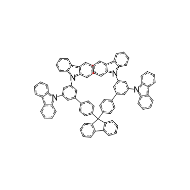 c1ccc2c(c1)-c1ccccc1C2(c1ccc(-c2cc(-n3c4ccccc4c4ccccc43)cc(-n3c4ccccc4c4ccccc43)c2)cc1)c1ccc(-c2cc(-n3c4ccccc4c4ccccc43)cc(-n3c4ccccc4c4ccccc43)c2)cc1